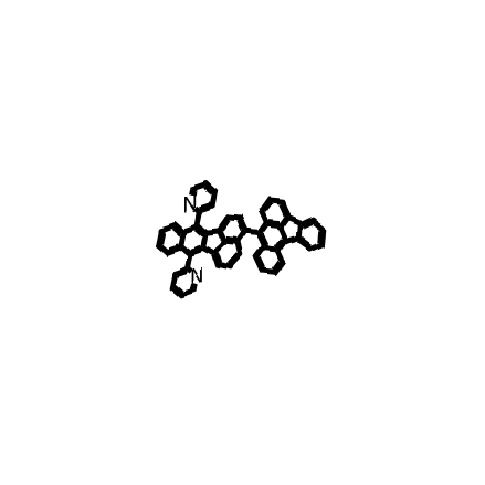 c1ccc(-c2c3c(c(-c4ccccn4)c4ccccc24)-c2ccc(-c4c5ccccc5c5c6c(cccc46)-c4ccccc4-5)c4cccc-3c24)nc1